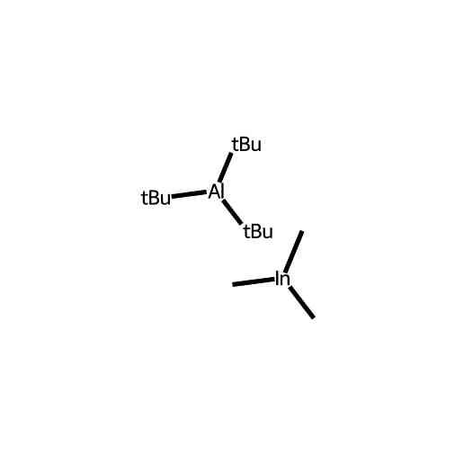 C[C](C)(C)[Al]([C](C)(C)C)[C](C)(C)C.[CH3][In]([CH3])[CH3]